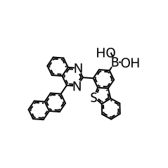 OB(O)c1cc(-c2nc(-c3ccc4ccccc4c3)c3ccccc3n2)c2sc3ccccc3c2c1